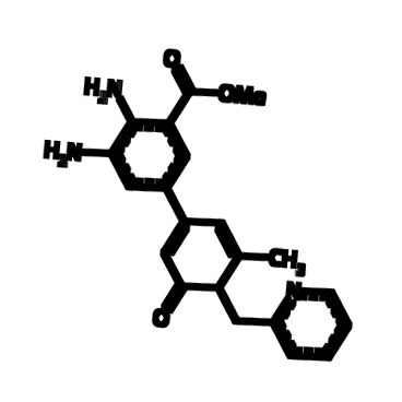 COC(=O)c1cc(C2=CC(=O)C(Cc3ccccn3)C(C)=C2)cc(N)c1N